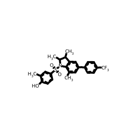 Cc1cc(S(=O)(=O)N2c3c(C)cc(-c4ccc(C(F)(F)F)cc4)cc3C(C)C2C)ccc1O